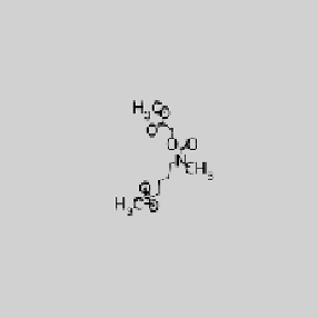 COC(=O)COC(=O)N(C)CCCCS(C)(=O)=O